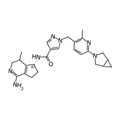 Cc1nc(N2CC3CC3C2)ccc1Cn1cc(C(=O)N[C@@H]2CCC3=C2C(C)CN=C3N)cn1